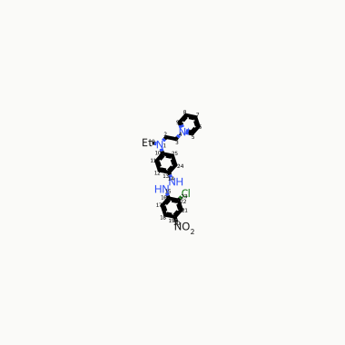 CCN(CC[n+]1ccccc1)c1ccc(NNc2ccc([N+](=O)[O-])cc2Cl)cc1